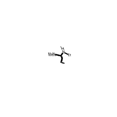 CC=C(NC)NCC